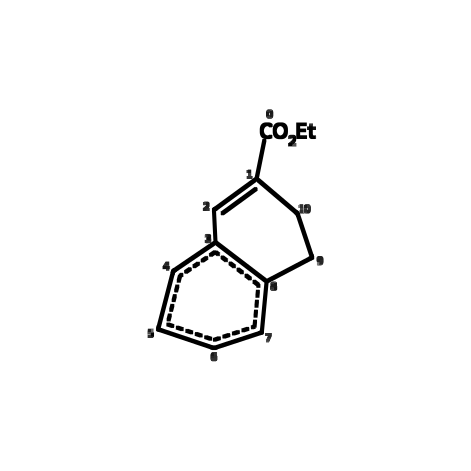 CCOC(=O)C1=Cc2ccccc2CC1